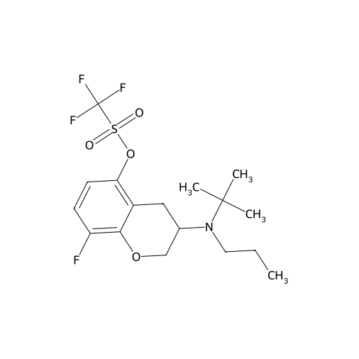 CCCN(C1COc2c(F)ccc(OS(=O)(=O)C(F)(F)F)c2C1)C(C)(C)C